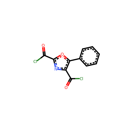 O=C(Cl)c1nc(C(=O)Cl)c(-c2ccccc2)o1